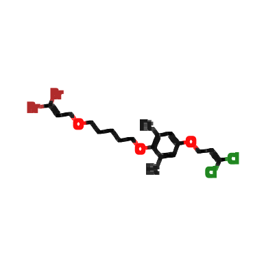 CCc1cc(OCC=C(Cl)Cl)cc(CC)c1OCCCCCOCC=C(Br)Br